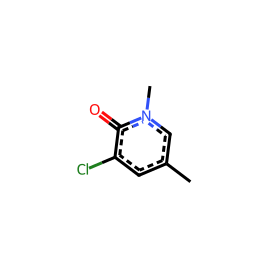 Cc1cc(Cl)c(=O)n(C)c1